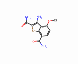 CCOc1ccc(C(N)=O)c2sc(C(N)=O)c(N)c12